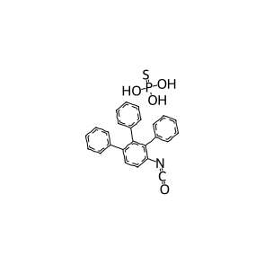 O=C=Nc1ccc(-c2ccccc2)c(-c2ccccc2)c1-c1ccccc1.OP(O)(O)=S